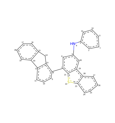 c1ccc(Nc2cc(-c3cccc4c3Cc3ccccc3-4)c3sc4ccccc4c3c2)cc1